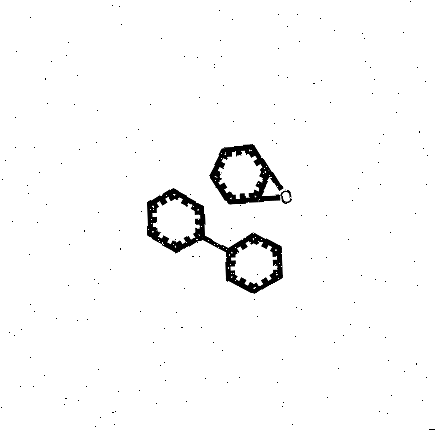 c1ccc(-c2ccccc2)cc1.c1ccc2c(c1)O2